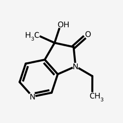 CCN1C(=O)C(C)(O)c2ccncc21